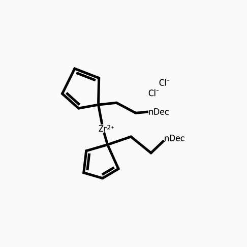 CCCCCCCCCCCC[C]1([Zr+2][C]2(CCCCCCCCCCCC)C=CC=C2)C=CC=C1.[Cl-].[Cl-]